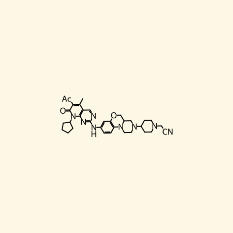 CC(=O)c1c(C)c2cnc(Nc3ccc4c(c3)OCC3CN(C5CCN(CC#N)CC5)CCN43)nc2n(C2CCCC2)c1=O